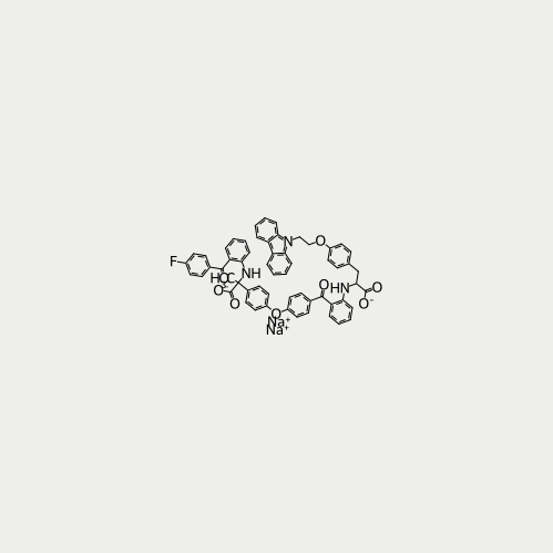 CC(Nc1ccccc1C(=O)c1ccc(F)cc1)(C(=O)[O-])c1ccc(Oc2ccc(C(=O)c3ccccc3NC(Cc3ccc(OCCn4c5ccccc5c5ccccc54)cc3)C(=O)[O-])cc2)cc1.[Na+].[Na+]